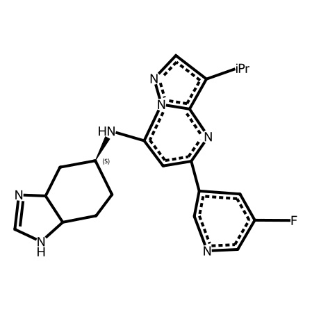 CC(C)c1cnn2c(N[C@H]3CCC4NC=NC4C3)cc(-c3cncc(F)c3)nc12